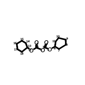 O=C(OC(=O)OC1CCCCC1)OC1CCCCC1